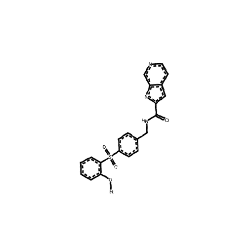 CCOc1ccccc1S(=O)(=O)c1ccc(CNC(=O)c2cc3ccncc3s2)cc1